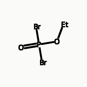 CCOP(=O)(Br)Br